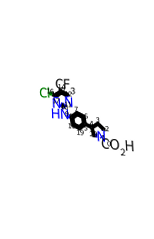 O=C(O)N1CCC(c2ccc(Nc3ncc(C(F)(F)F)c(Cl)n3)cc2)C1